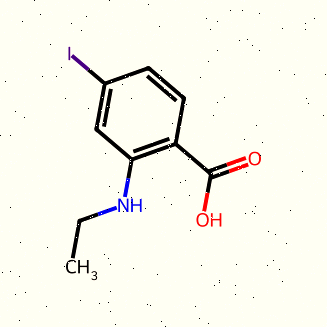 CCNc1cc(I)ccc1C(=O)O